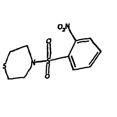 O=[N+]([O-])c1ccccc1S(=O)(=O)N1CCSCC1